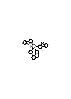 c1cc(-c2nc(-c3ccc4c(c3)oc3ccccc34)nc(-c3cccc4c3sc3ccccc34)n2)cc(-c2cccc3ccc4ccccc4c23)c1